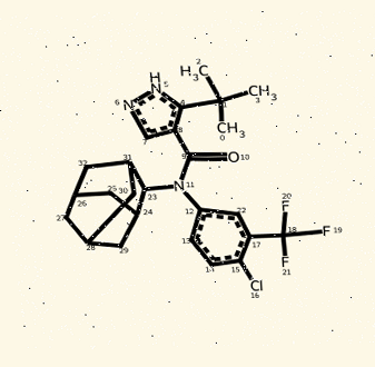 CC(C)(C)c1[nH]ncc1C(=O)N(c1ccc(Cl)c(C(F)(F)F)c1)C1C2CC3CC(C2)CC1C3